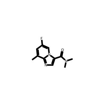 Cc1cc(F)cn2c(C(=O)N(C)C)cnc12